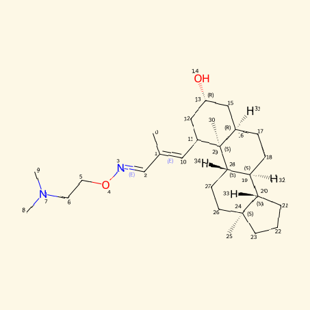 CC(/C=N/OCCN(C)C)=C\C1C[C@H](O)C[C@H]2CC[C@H]3[C@@H]4CCC[C@@]4(C)CC[C@@H]3[C@@]12C